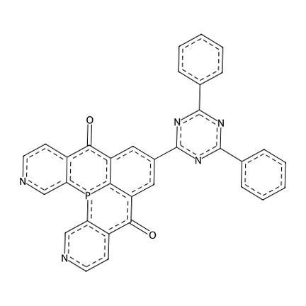 O=c1c2ccncc2p2c3cnccc3c(=O)c3cc(-c4nc(-c5ccccc5)nc(-c5ccccc5)n4)cc1c32